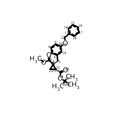 COC(=O)[C@@]1(Cc2cccc(OCc3ccccc3)c2)C[C@@H]1C(=O)OC(C)(C)C